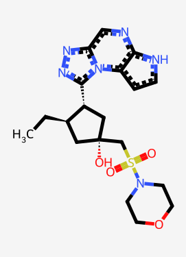 CC[C@@H]1C[C@](O)(CS(=O)(=O)N2CCOCC2)C[C@H]1c1nnc2cnc3[nH]ccc3n12